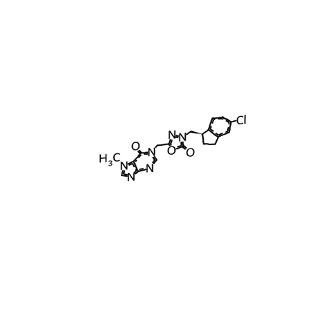 Cn1cnc2ncn(Cc3nn(C[C@@H]4CCc5cc(Cl)ccc54)c(=O)o3)c(=O)c21